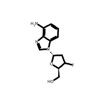 Nc1cccc2c1ncn2[C@@H]1CC(F)[C@@H](CO)O1